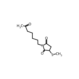 CSC1CC(=O)N(CCCCCC(C)=O)C1=O